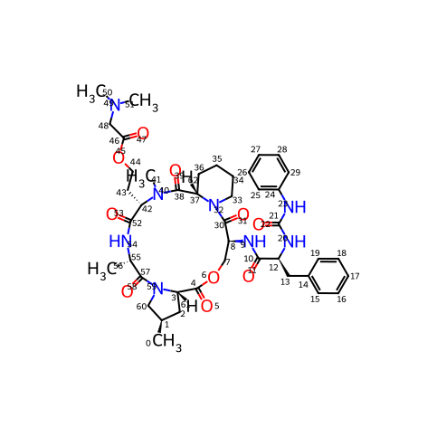 C[C@@H]1C[C@H]2C(=O)OC[C@H](NC(=O)[C@H](Cc3ccccc3)NC(=O)Nc3ccccc3)C(=O)N3CCCC[C@H]3C(=O)N(C)[C@@H](CCOC(=O)CN(C)C)C(=O)N[C@@H](C)C(=O)N2C1